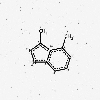 [CH2]c1cccc2[nH]nc(C)c12